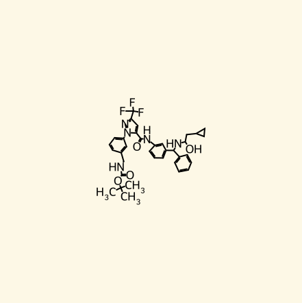 CC(C)(C)OC(=O)NCc1cccc(-n2nc(C(F)(F)F)cc2C(=O)Nc2cccc(C(NC(O)CC3CC3)c3ccccc3)c2)c1